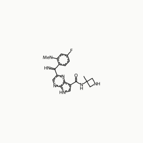 CNc1cc(F)ccc1C(=N)c1cnc2[nH]cc(C(=O)NC3(C)CNC3)c2n1